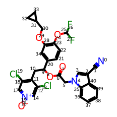 N#Cc1cn(CC(=O)OC(Cc2c(Cl)c[n+]([O-])cc2Cl)c2ccc(OC(F)F)c(OCC3CC3)c2)c2ccccc12